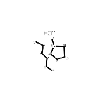 CCCCCC.CN1CCCC1.Cl